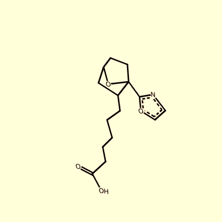 O=C(O)CCCCCC1CC2CCC1(c1ncco1)O2